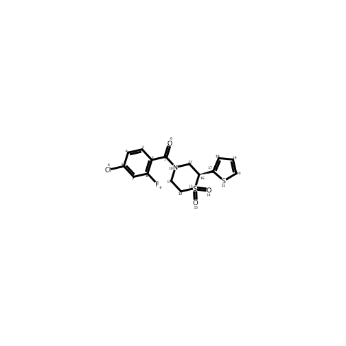 O=C(c1ccc(Cl)cc1F)N1CCS(=O)(=O)[C@H](c2cccs2)C1